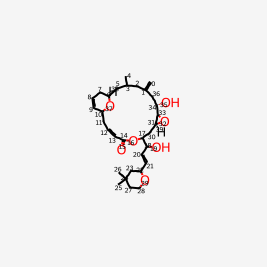 C=C1CC(C)C[C@@H]2CC=CC(C/C=C\C(=O)OC(C(O)/C=C/C3CC(C)(C)CCO3)C[C@@H]3OC3[C@@H](O)C1)O2